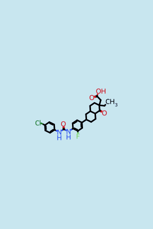 CCC1(CC(=O)O)CCC2CC(c3ccc(NC(=O)Nc4ccc(Cl)cc4)c(F)c3)CCC2C1=O